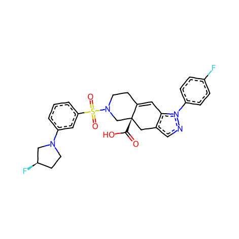 O=C(O)[C@]12Cc3cnn(-c4ccc(F)cc4)c3C=C1CCN(S(=O)(=O)c1cccc(N3CC[C@@H](F)C3)c1)C2